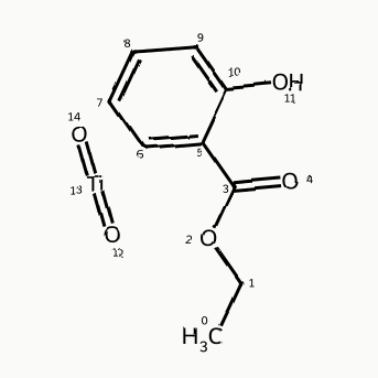 CCOC(=O)c1ccccc1O.[O]=[Ti]=[O]